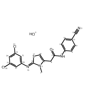 Cl.Cn1c(CC(=O)Nc2ccc(C#N)cc2)csc1=Nc1cc(Cl)cc(Cl)c1